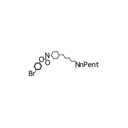 CCCCCN(C)CCCCC[C@H]1CC[C@H](N(C)C(=O)Oc2ccc(Br)cc2)CC1